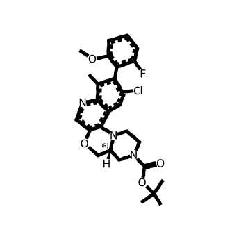 COc1cccc(F)c1-c1c(Cl)cc2c3c(cnc2c1C)OC[C@H]1CN(C(=O)OC(C)(C)C)CCN31